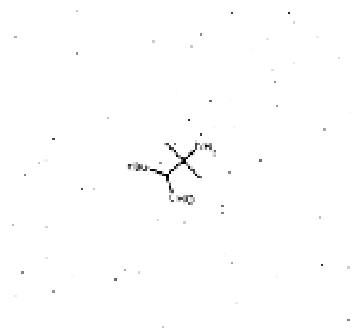 CCCCC(C=O)C(C)(C)N